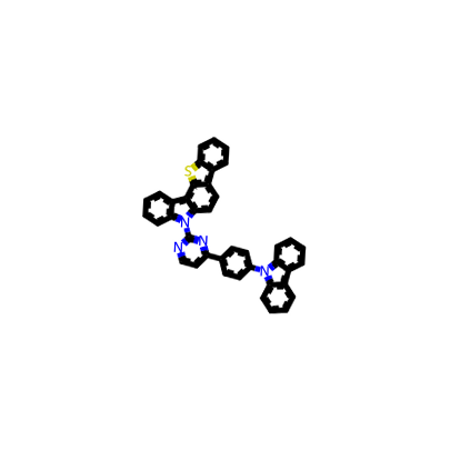 c1ccc2c(c1)sc1c2ccc2c1c1ccccc1n2-c1nccc(-c2ccc(-n3c4ccccc4c4ccccc43)cc2)n1